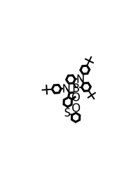 CC(C)(C)c1ccc(N2c3ccc(C(C)(C)C)cc3B3c4oc5c6c(ccc5c4N(c4ccc(C(C)(C)C)cc4)c4cccc2c43)Sc2ccccc2O6)cc1